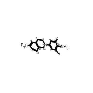 Cc1cc(N2CCc3cc(C(F)(F)F)ccc3C2)cc(C)c1N